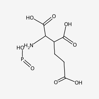 NC(C(=O)O)C(CCC(=O)O)C(=O)O.O=PO